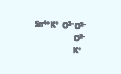 [K+].[K+].[O-2].[O-2].[O-2].[Sn+4]